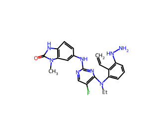 C=Cc1c(NN)cccc1N(CC)c1nc(Nc2ccc3[nH]c(=O)n(C)c3c2)ncc1F